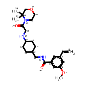 C=Cc1cc(OC)cc(C(=O)NCC2CCC(NCC(=O)N3CCOCC3(C)C)CC2)c1